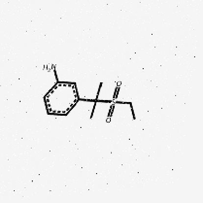 CCS(=O)(=O)C(C)(C)c1cccc(N)c1